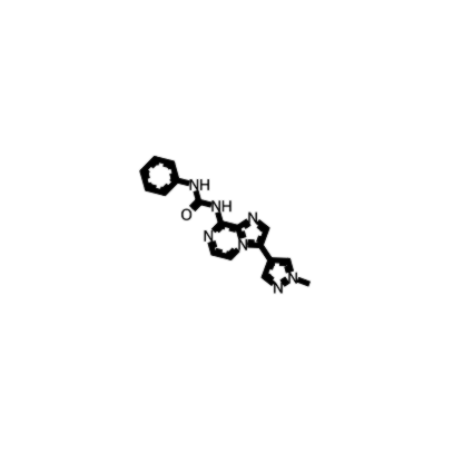 Cn1cc(-c2cnc3c(NC(=O)Nc4ccccc4)nccn23)cn1